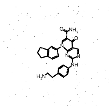 NCCc1ccc(Nc2ncc3c(=O)c(C(N)=O)cn(-c4ccc5c(c4)CCC5)c3n2)cc1